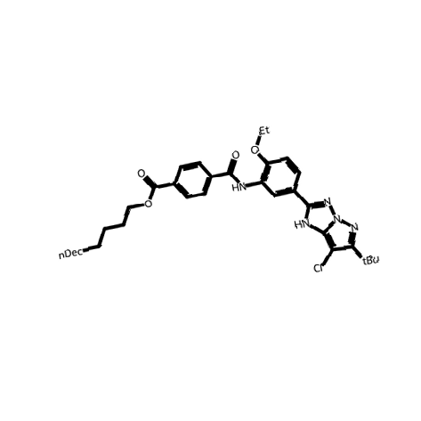 CCCCCCCCCCCCCCOC(=O)c1ccc(C(=O)Nc2cc(-c3nn4nc(C(C)(C)C)c(Cl)c4[nH]3)ccc2OCC)cc1